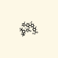 COc1ccc(-c2ccc(C(=O)O)cc2C)cc1-c1cnc(-n2ccnc2C)nc1CN1C(=O)O[C@H](c2cc(C(F)(F)F)cc(C(F)(F)F)c2)[C@@H]1C